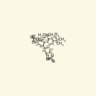 CC(C)(C)c1ccc(-c2cc(O[PH](=O)O)ccc2-c2ccc(O[PH](=O)O)cc2)c(C(C)(C)C)c1